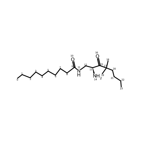 CCCCCCCCCC(=O)NC[C@H](N)C(=O)C(C)(C)CCCC